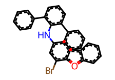 Brc1cc(Nc2c(-c3ccccc3)cccc2-c2ccccc2)cc2c1oc1ccccc12